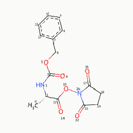 C[C@H](NC(=O)OCc1ccccc1)C(=O)ON1C(=O)CCC1=O